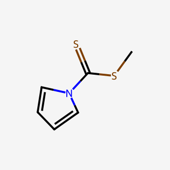 CSC(=S)n1cccc1